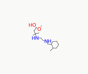 COC(O)CC(C)(C)NCCNCC1CCCCC1C